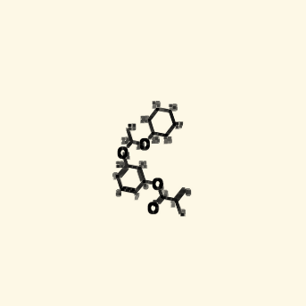 C=C(C)C(=O)Oc1cccc(OC(C)OC2CCCCC2)c1